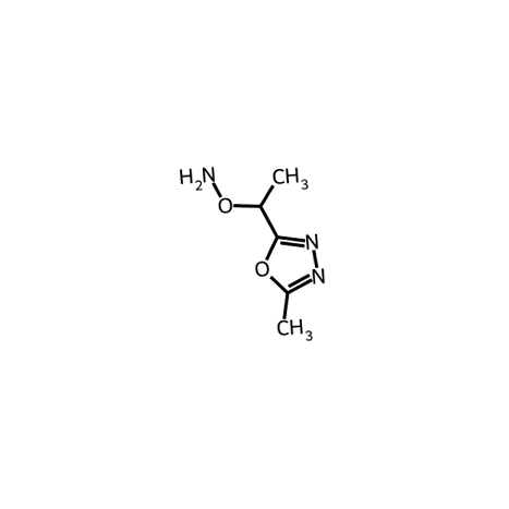 Cc1nnc(C(C)ON)o1